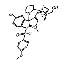 COc1ccc(S(=O)(=O)N2C(=O)C(c3ccc(CO)cc3OC)(N3CCCC3c3ncco3)c3cc(Cl)ccc32)cc1